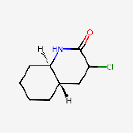 O=C1N[C@@H]2CCCC[C@H]2CC1Cl